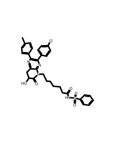 Cc1ccc(-c2nc3c(nc2-c2ccc(Cl)cc2)N(CCCCCCC(=O)NS(=O)(=O)c2ccccc2)C(=O)C(O)C3)cc1